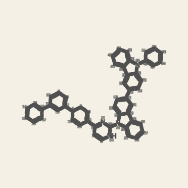 C1=CC(C2=CCC(c3cccc(-c4ccccc4)c3)C=C2)=NC(n2c3ccccc3c3cc(-c4ccc5c(c4)c4ccccc4n5-c4ccccc4)ccc32)N1